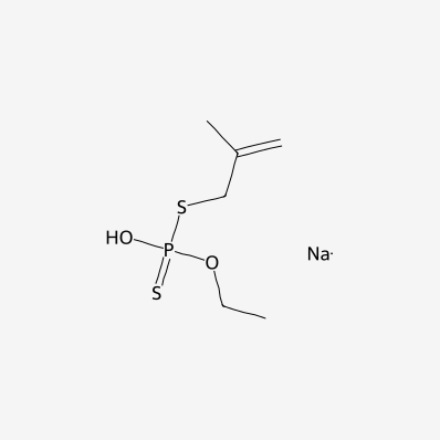 C=C(C)CSP(O)(=S)OCC.[Na]